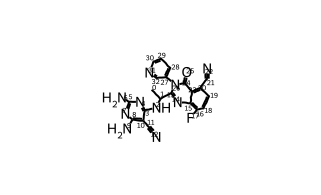 CC(Nc1nc(N)nc(N)c1C#N)c1nc2c(F)ccc(C#N)c2c(=O)n1-c1cccnc1